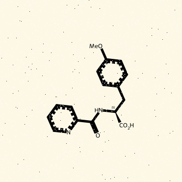 [CH2-][OH+]c1ccc(C[C@H](NC(=O)c2ccccn2)C(=O)O)cc1